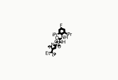 CCC(c1cc(S(=O)(=O)NC(=O)Nc2c(C(C)C)cc(F)cc2C(C)C)nn1C)N(C)C